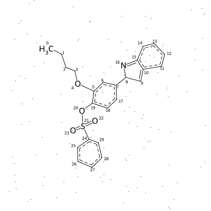 CCCCOc1cc(C2C=c3ccccc3=N2)ccc1OS(=O)(=O)c1ccccc1